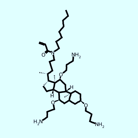 C=CC(=O)N(CCCCCCCC)CCC[C@@H](C)[C@H]1CC[C@H]2C3[C@H](OCCCN)CC4C[C@H](OCCCN)CC[C@]4(C)[C@H]3C[C@H](OCCCN)[C@]12C